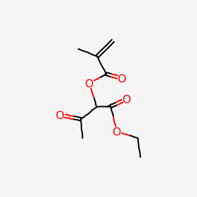 C=C(C)C(=O)OC(C(C)=O)C(=O)OCC